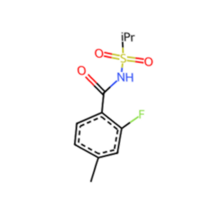 Cc1ccc(C(=O)NS(=O)(=O)C(C)C)c(F)c1